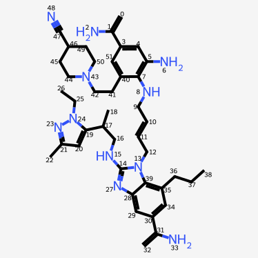 C=C(N)c1cc(N)c(NC/C=C/Cn2c(NCC(C)c3cc(C)nn3CC)nc3cc(C(=C)N)cc(CCC)c32)c(CCN2CCC(C#N)CC2)c1